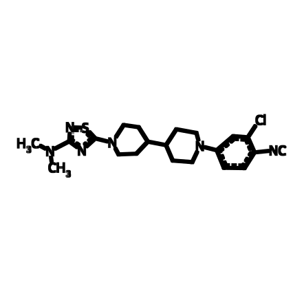 [C-]#[N+]c1ccc(N2CCC(C3CCN(c4nc(N(C)C)ns4)CC3)CC2)cc1Cl